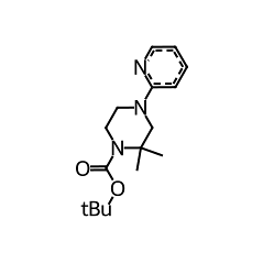 CC(C)(C)OC(=O)N1CCN(c2ccccn2)CC1(C)C